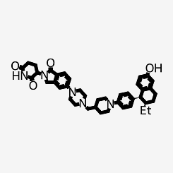 CC[C@H]1CCc2cc(O)ccc2[C@H]1c1ccc(N2CCC(CN3CCN(c4ccc5c(c4)CN(C4CCC(=O)NC4=O)C5=O)CC3)CC2)cc1